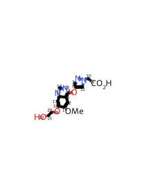 COc1cc2c(Oc3cnn(CC(=O)O)c3)ncnc2cc1OCCO